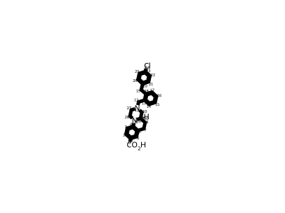 O=C(O)c1ccc2c(c1)CC[C@@H]1CN(Cc3ccccc3Cc3ccc(Cl)cc3)CCN21